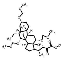 CC[C@H]1[C@@H](OCOC)[C@@H]2[C@H](C[C@H](OCOC)[C@]3(C)[C@@H]([C@H](C)CC(=O)C(=O)OC)CC[C@@H]23)[C@@]2(C)CC[C@@H](OCOC)C[C@@H]12